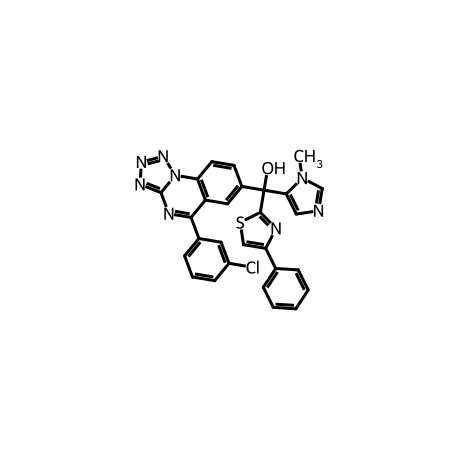 Cn1cncc1C(O)(c1ccc2c(c1)c(-c1cccc(Cl)c1)nc1nnnn12)c1nc(-c2ccccc2)cs1